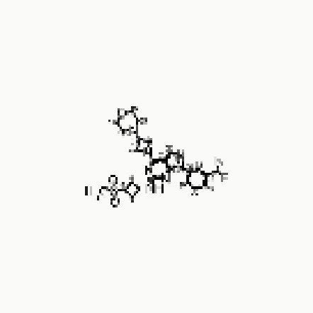 CS(=O)(=O)[C@H]1C[C@H](Nc2nc(N3CC(N4CCOCC4)C3)c3cnn(-c4cccc(C(F)F)c4)c3n2)C1